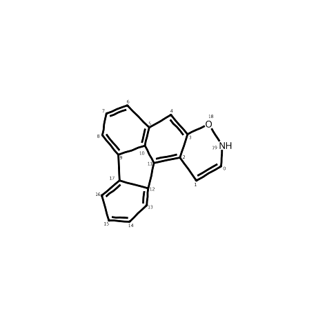 C1=Cc2c(cc3cccc4c3c2-c2ccccc2-4)ON1